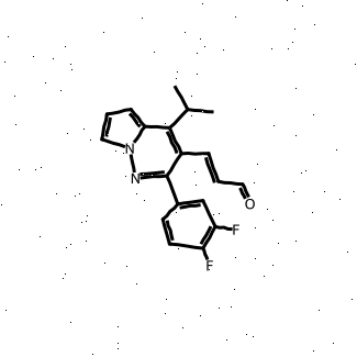 CC(C)c1c(C=CC=O)c(-c2ccc(F)c(F)c2)nn2cccc12